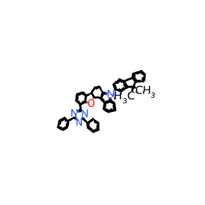 CC1(C)c2ccccc2-c2ccc(-n3c4c(c5ccccc53)C3Oc5c(-c6nc(-c7ccccc7)nc(-c7ccccc7)n6)cccc5C3C=C4)cc21